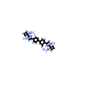 CC1CC(c2ccc(-c3c[nH]c(C4(N)CCC4)n3)cc2)=CC=C1c1c[nH]c(C2(N)CCC2)n1